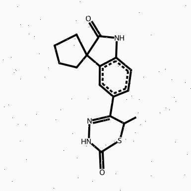 CC1SC(=O)NN=C1c1ccc2c(c1)C1(CCCC1)C(=O)N2